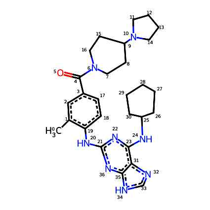 Cc1cc(C(=O)N2CCC(N3CCCC3)CC2)ccc1Nc1nc(NC2CCCCC2)c2nc[nH]c2n1